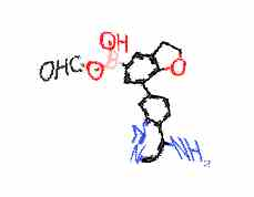 Nc1cnnc2cc(-c3cc(B(O)OC=O)cc4c3OCC4)ccc12